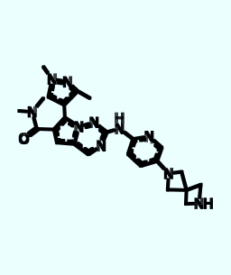 Cc1nn(C)cc1-c1c(C(=O)N(C)C)cc2cnc(Nc3ccc(N4CC5(CNC5)C4)cn3)nn12